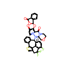 O=C1OC(Oc2c3n(ccc2=O)N([C@@H]2c4ccccc4-c4scc5c4-c4c2ccc(F)c4C(F)(F)C5)[C@@H]2COCCN2C3=O)c2ccccc21